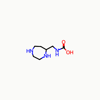 O=C(O)NCC1CCNCCN1